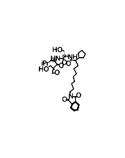 CC(C)C[C@@H](NC(=O)[C@H](CO)NC(=O)C(CCCCCCCCN1C(=O)c2ccccc2C1=O)C1CCCC1)C(=O)C1(CO)CO1